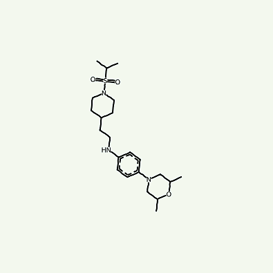 CC1CN(c2ccc(NCCC3CCN(S(=O)(=O)C(C)C)CC3)cc2)CC(C)O1